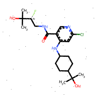 CC(C)(O)C1CCC(Nc2cc(Cl)ncc2C(=O)NC[C@@H](F)C(C)(C)O)CC1